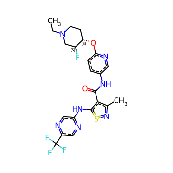 CCN1CC[C@H](Oc2ccc(NC(=O)c3c(C)nsc3Nc3cnc(C(F)(F)F)cn3)cn2)[C@@H](F)C1